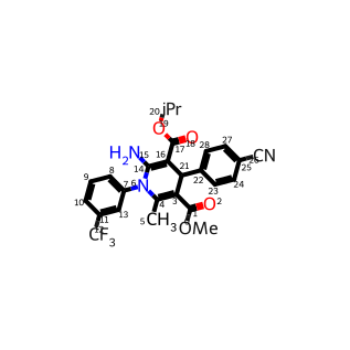 COC(=O)C1=C(C)N(c2cccc(C(F)(F)F)c2)C(N)=C(C(=O)OC(C)C)C1c1ccc(C#N)cc1